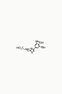 CC(C)(C)c1cc(-c2csc(CNCC(=O)O)n2)cc(C(C)(C)C)c1O